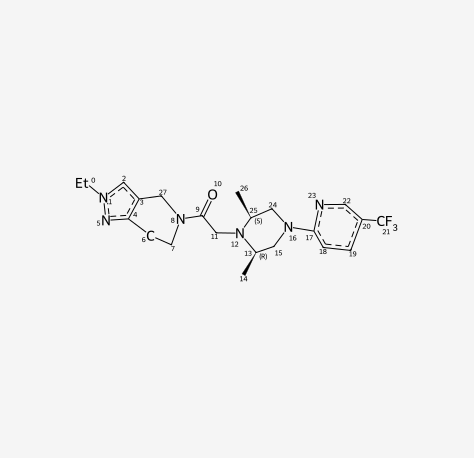 CCn1cc2c(n1)CCN(C(=O)CN1[C@H](C)CN(c3ccc(C(F)(F)F)cn3)C[C@@H]1C)C2